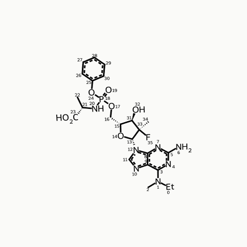 CCN(C)c1nc(N)nc2c1ncn2[C@@H]1O[C@H](COP(=O)(N[C@@H](C)C(=O)O)Oc2ccccc2)[C@@H](O)[C@@]1(C)F